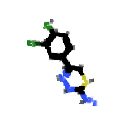 NC1=NN=C(c2ccc(Cl)c(Cl)c2)CS1